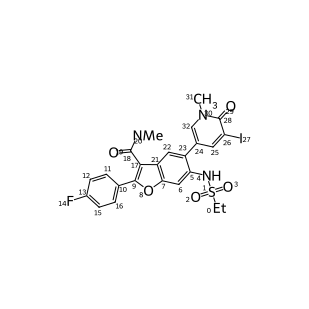 CCS(=O)(=O)Nc1cc2oc(-c3ccc(F)cc3)c(C(=O)NC)c2cc1-c1cc(I)c(=O)n(C)c1